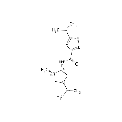 CC(C)c1cc(C(=O)N[C@@H]2CN(C(C)C)C[C@H]2C)no1